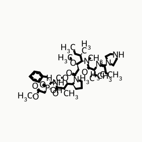 CC[C@H](C)[C@@H]([C@@H](CC(=O)N1CCC[C@H]1[C@H](OC)[C@@H](C)C(=O)N[C@@H](Cc1ccccc1)P(=O)(O)CC(=O)OC)OC)N(C)C(=O)[C@@H](/N=C(\C(C)C)N1CCNCC1)C(C)C